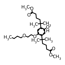 CCCCOCCOc1cc(C(C)(C)CCCC(=O)OC)c(O)cc1C(C)(C)CCCC(=O)OC